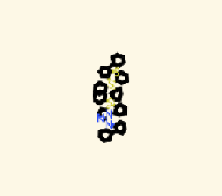 c1ccc(S(c2ccccc2)(c2cccc(S(c3ccccc3)(c3ccccc3)c3cccc4c3sc3ccccc34)c2)c2ccnc(-n3c4ccccc4c4ccccc43)n2)cc1